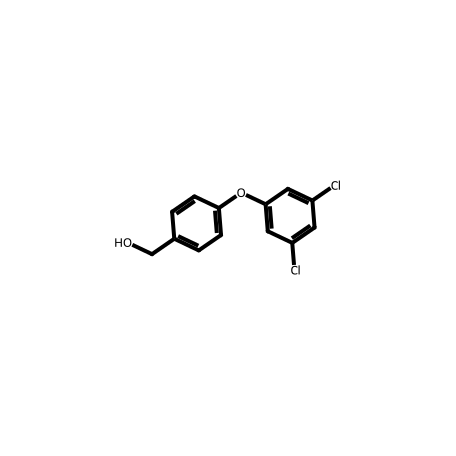 OCc1ccc(Oc2cc(Cl)cc(Cl)c2)cc1